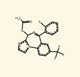 CC(=O)OC1N=C(c2ccccc2F)c2cc(C(F)(F)F)ccc2-n2ccnc21